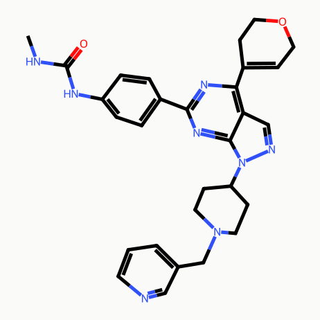 CNC(=O)Nc1ccc(-c2nc(C3=CCOCC3)c3cnn(C4CCN(Cc5cccnc5)CC4)c3n2)cc1